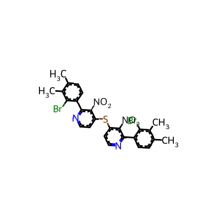 Cc1ccc(-c2nccc(Sc3ccnc(-c4ccc(C)c(C)c4Br)c3[N+](=O)[O-])c2[N+](=O)[O-])c(Br)c1C